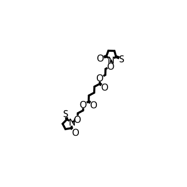 O=C(CCCC(=O)OCCON1C(=O)CCC1=S)OCCON1C(=O)CCC1=S